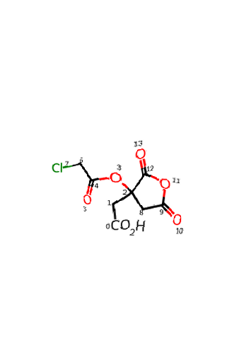 O=C(O)CC1(OC(=O)CCl)CC(=O)OC1=O